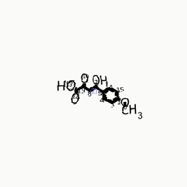 COc1ccc(/C(O)=C/C(=O)C(=O)O)cc1